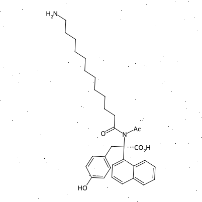 CC(=O)N(C(=O)CCCCCCCCCCCN)[C@@](Cc1ccc(O)cc1)(C(=O)O)c1cccc2ccccc12